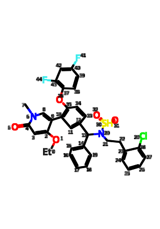 CCOc1cc(=O)n(C)cc1-c1cc(C(c2ccccc2)N(CCc2ccccc2Cl)[SH](=O)=O)ccc1Oc1ccc(F)cc1F